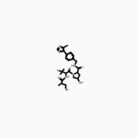 Cc1ncsc1-c1ccc(CNC(=O)C2CC(O)CN2C(=O)C(NC(=O)C(C)CC(C)C)C(C)(C)F)cc1